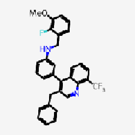 COc1cccc(CNc2cccc(-c3c(Cc4ccccc4)cnc4c(C(F)(F)F)cccc34)c2)c1F